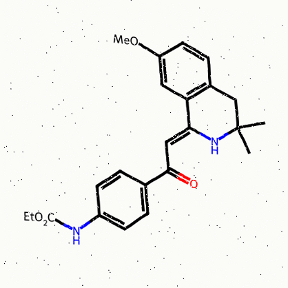 CCOC(=O)Nc1ccc(C(=O)/C=C2\NC(C)(C)Cc3ccc(OC)cc32)cc1